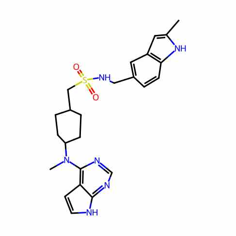 Cc1cc2cc(CNS(=O)(=O)CC3CCC(N(C)c4ncnc5[nH]ccc45)CC3)ccc2[nH]1